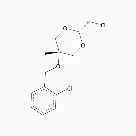 C[C@]1(OCc2ccccc2Cl)CO[C@@H](CCl)OC1